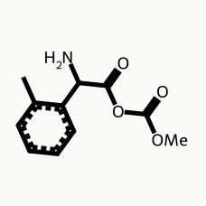 COC(=O)OC(=O)C(N)c1ccccc1C